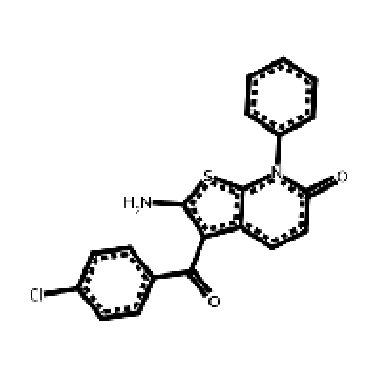 Nc1sc2c(ccc(=O)n2-c2ccccc2)c1C(=O)c1ccc(Cl)cc1